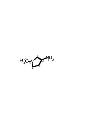 CN1[CH]CC([N+](=O)[O-])C1